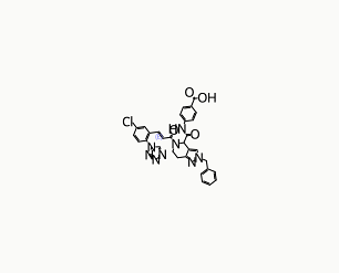 O=C(O)c1ccc(NC(=O)C2c3cn(Cc4ccccc4)nc3CCN2C(=O)/C=C/c2cc(Cl)ccc2-n2cnnn2)cc1